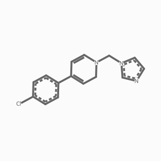 Clc1ccc(C2=CCN(Cn3ccnc3)C=C2)cc1